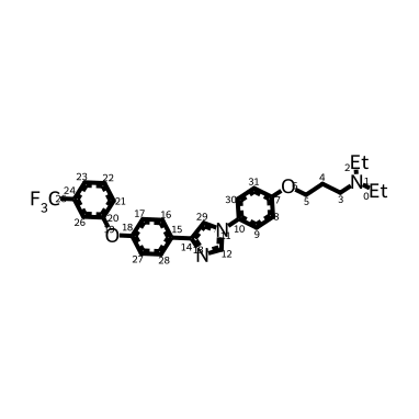 CCN(CC)CCCOc1ccc(-n2cnc(-c3ccc(Oc4cccc(C(F)(F)F)c4)cc3)c2)cc1